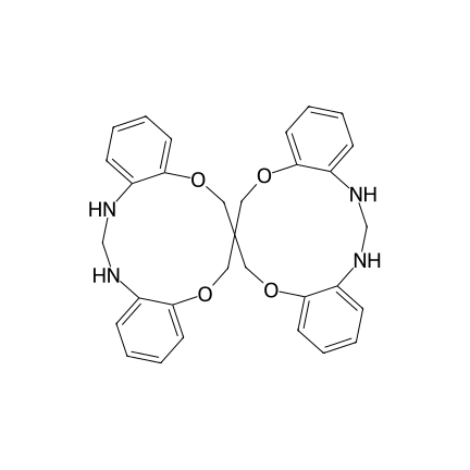 c1ccc2c(c1)NCNc1ccccc1OCC1(CO2)COc2ccccc2NCNc2ccccc2OC1